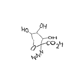 [N-]=[N+]=NC1(C(=O)O)OCC(O)C(O)C1O